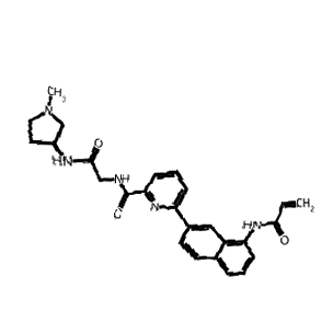 C=CC(=O)Nc1cccc2ccc(-c3cccc(C(=O)NCC(=O)NC4CCN(C)C4)n3)cc12